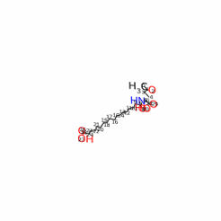 CC(=O)CC[C@@H](NC(=O)CCCCCCCCCCCCCCCCC(=O)O)C(=O)O